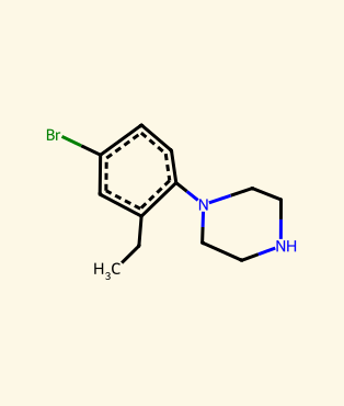 CCc1cc(Br)ccc1N1CCNCC1